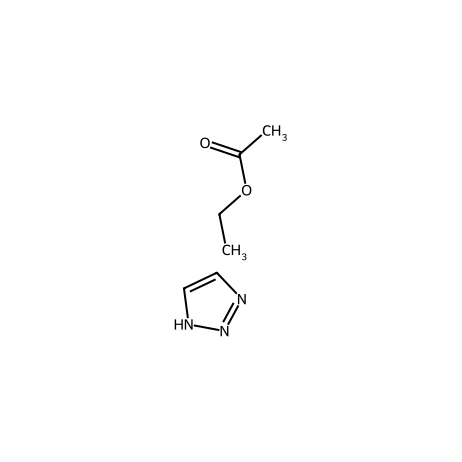 CCOC(C)=O.c1c[nH]nn1